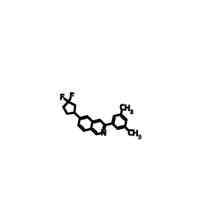 Cc1cc(C)cc(-c2cc3cc(C4CCC(F)(F)C4)ccc3cn2)c1